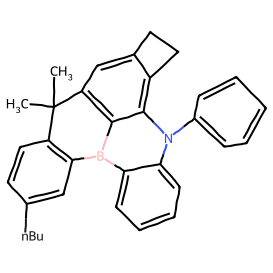 CCCCc1ccc2c(c1)B1c3ccccc3N(c3ccccc3)c3c4c(cc(c31)C2(C)C)CC4